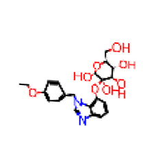 CCOc1ccc(Cn2cnc3cccc(O[C@@]4(O)[C@H](O)O[C@@H](CO)[C@H](O)[C@H]4O)c32)cc1